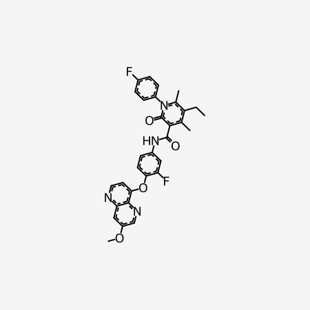 CCc1c(C)c(C(=O)Nc2ccc(Oc3ccnc4cc(OC)cnc34)c(F)c2)c(=O)n(-c2ccc(F)cc2)c1C